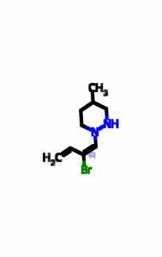 C=C/C(Br)=C\N1CCC(C)CN1